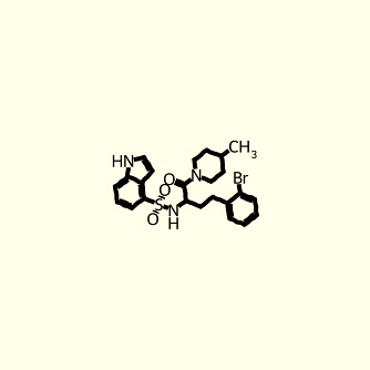 CC1CCN(C(=O)C(CCc2ccccc2Br)NS(=O)(=O)c2cccc3[nH]ccc23)CC1